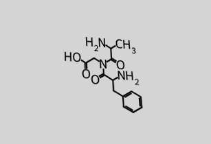 CC(N)C(=O)N(CC(=O)O)C(=O)C(N)Cc1ccccc1